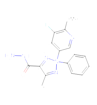 COc1ncc([N+]2(c3ccccc3)N=C(C)C(C(=O)NN)=N2)cc1F